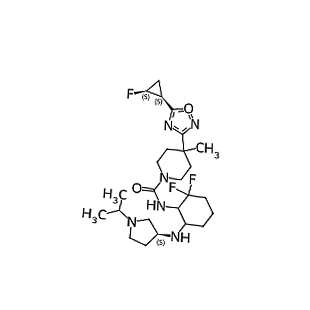 CC(C)N1CC[C@H](NC2CCCC(F)(F)C2NC(=O)N2CCC(C)(c3noc([C@@H]4C[C@@H]4F)n3)CC2)C1